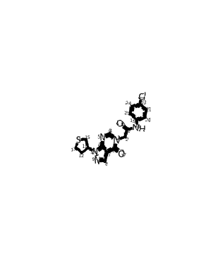 O=C(Cn1cnc2c(cnn2C2CCSC2)c1=O)Nc1ccc(Cl)cc1